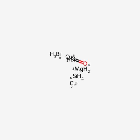 [BiH3].[Cu].[Cu].[MgH2].[O]=[BiH].[SiH4]